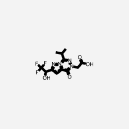 CC(C)c1nn(CC(=O)O)c(=O)c2cc(C(O)C(F)(F)F)nn12